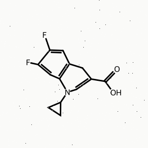 O=C(O)C1=CN(C2CC2)c2cc(F)c(F)cc2C1